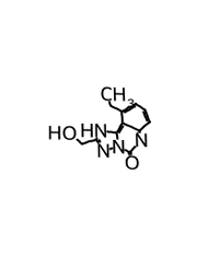 CCc1cccc2nc(=O)n3nc(CO)[nH]c3c12